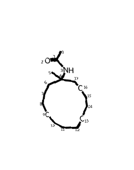 CC(=O)NC1(C)CCCCCCCCCCCC1